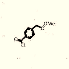 COOCc1ccc(C(=O)Cl)cc1